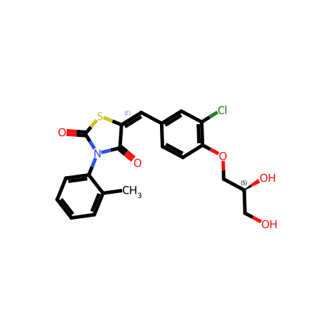 Cc1ccccc1N1C(=O)S/C(=C/c2ccc(OC[C@@H](O)CO)c(Cl)c2)C1=O